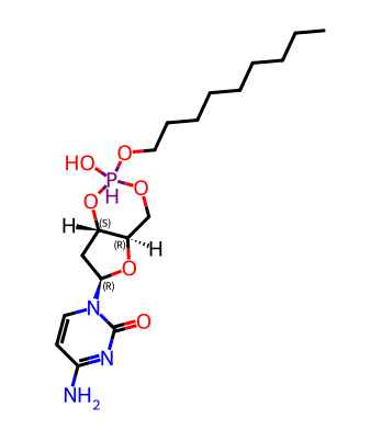 CCCCCCCCCO[PH]1(O)OC[C@H]2O[C@@H](n3ccc(N)nc3=O)C[C@@H]2O1